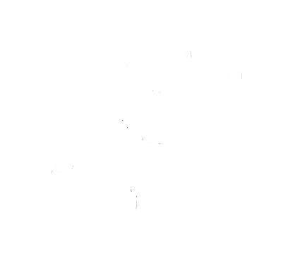 CC(C)=CCOC(=O)C1=CSC(C(=C=O)c2c[nH]c3ccccc23)N1C